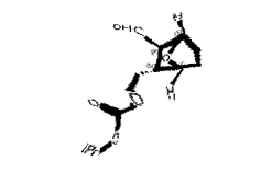 CC(C)OC(=O)OC[C@@H]1[C@@H](C=O)[C@@H]2CC[C@H]1O2